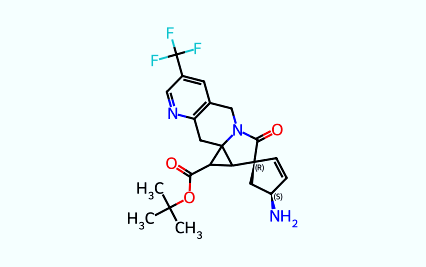 CC(C)(C)OC(=O)C1C2C13Cc1ncc(C(F)(F)F)cc1CN3C(=O)[C@]21C=C[C@@H](N)C1